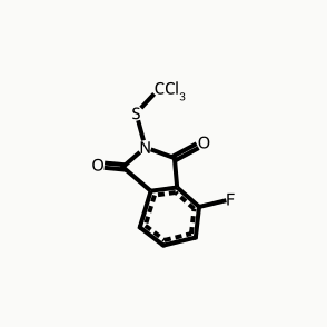 O=C1c2cccc(F)c2C(=O)N1SC(Cl)(Cl)Cl